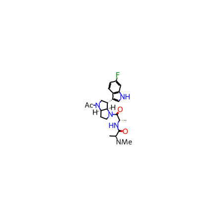 CN[C@@H](C)C(=O)N[C@@H](C)C(=O)N1CC[C@@H]2[C@H]1[C@@H](c1c[nH]c3cc(F)ccc13)CN2C(C)=O